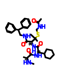 CN[C@@H](C)C(=O)N[C@H](C(=O)N[C@H](C(=O)NCC(c1ccccc1)c1ccccc1)C(C)(C)SCNC(C)=O)C1CCCCC1